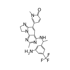 Cc1nc(NC(C)c2cc(N)cc(C(F)(F)F)c2)c2c(n1)N1CCN=C1C(c1ccc(=O)n(C)c1)=C2